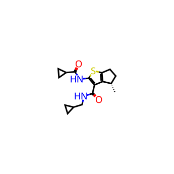 C[C@H]1CCc2sc(NC(=O)C3CC3)c(C(=O)NCC3CC3)c21